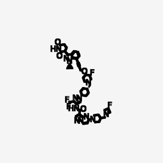 O=C1CCC(c2nn(C3CC3)c3c(C#CCO[C@H]4CCN(C[C@H]5CC[C@H](n6cc(NC(=O)c7cnn8ccc(N9CCC(CN%10CC(F)C%10)CC9)nc78)c(C(F)F)n6)CC5)C[C@H]4F)cccc23)C(=O)N1